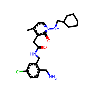 Cc1ccn(NCC2CCCCC2)c(=O)c1CC(=O)NCc1cc(Cl)ccc1CN